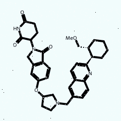 COC[C@@H]1CCCC[C@H]1c1ccc2cc(CN3CCC(Oc4ccc5c(c4)CN(C4CCC(=O)NC4=O)C5=O)C3)ccc2n1